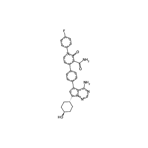 NC(=O)c1c(-c2ccc(-c3cc([C@H]4CC[C@H](O)CC4)n4ncnc(N)c34)cc2)ccn(-c2ccc(F)cc2)c1=O